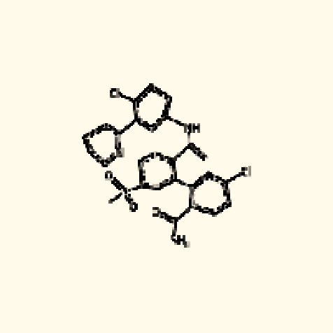 C=C(Nc1ccc(Cl)c(-c2ccccn2)c1)c1ccc(S(C)(=O)=O)cc1-c1cc(Cl)ccc1C(N)=O